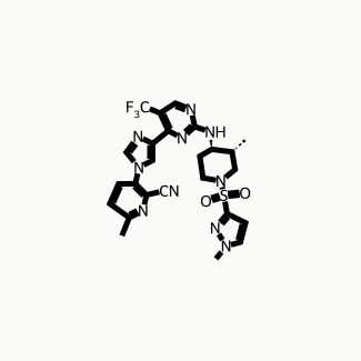 Cc1ccc(-n2cnc(-c3nc(N[C@H]4CCN(S(=O)(=O)c5ccn(C)n5)C[C@H]4C)ncc3C(F)(F)F)c2)c(C#N)n1